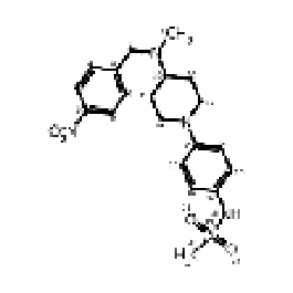 CN(Cc1ccc([N+](=O)[O-])cc1)C1CCN(c2ccc(NS(C)(=O)=O)cc2)CC1